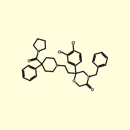 O=C1COC(CCN2CCC(C(=O)N3CCCC3)(c3ccccc3)CC2)(c2ccc(Cl)c(Cl)c2)CN1Cc1ccccc1